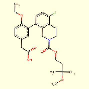 CCOc1ccc(CC(=O)O)cc1-c1ccc(F)c2c1CN(C(=O)OCCC(C)(C)OC)CC2